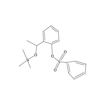 CC(O[Si](C)(C)C)c1ccccc1OS(=O)(=O)c1ccccc1